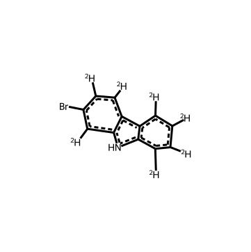 [2H]c1c([2H])c([2H])c2c([nH]c3c([2H])c(Br)c([2H])c([2H])c32)c1[2H]